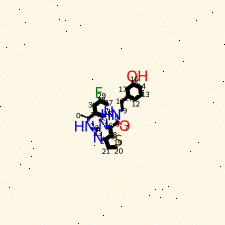 C[C@H](Nc1nc(C(=O)NCCc2cccc(O)c2)c2sccc2n1)c1cncc(F)c1